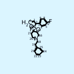 C=CC(c1ccc(F)cc1)S(=O)(=O)C1(F)CCN(CCc2ccccc2)CC1